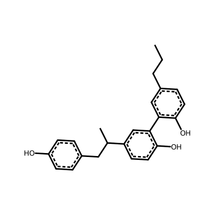 CCCc1ccc(O)c(-c2cc(C(C)Cc3ccc(O)cc3)ccc2O)c1